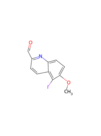 COc1ccc2nc(C=O)ccc2c1I